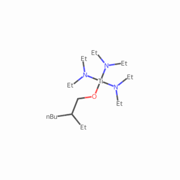 CCCCC(CC)C[O][Ti]([N](CC)CC)([N](CC)CC)[N](CC)CC